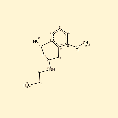 CCCNC1CCc2cccc(OC)c2C1.Cl